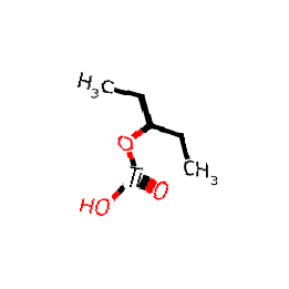 CCC(CC)[O][Ti](=[O])[OH]